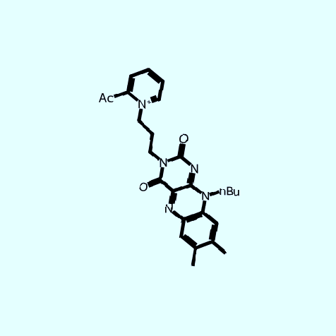 CCCCn1c2nc(=O)n(CCC[n+]3ccccc3C(C)=O)c(=O)c-2nc2cc(C)c(C)cc21